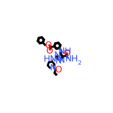 C=CC(=O)N1CCC[C@@H](Nc2nnc(C(N)=O)c(Nc3cccc(C(=O)OCc4ccccc4)c3)n2)C1